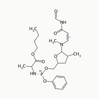 CCCCOC(=O)C(C)N[P@](OCC1CC(C)C(N(C)/C=C\C(=O)NC=O)O1)Oc1ccccc1